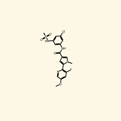 COc1cnc(-c2cc(C(=O)Nc3cc(Cl)cc(NS(C)(=O)=O)c3)cn2C)c(F)c1